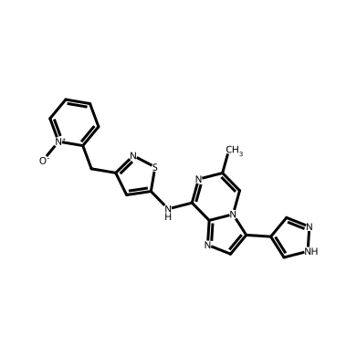 Cc1cn2c(-c3cn[nH]c3)cnc2c(Nc2cc(Cc3cccc[n+]3[O-])ns2)n1